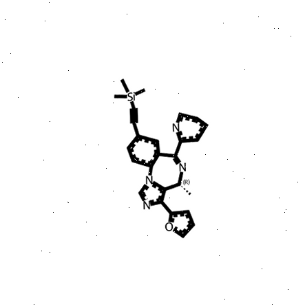 C[C@H]1N=C(c2ccccn2)c2cc(C#C[Si](C)(C)C)ccc2-n2cnc(-c3ccco3)c21